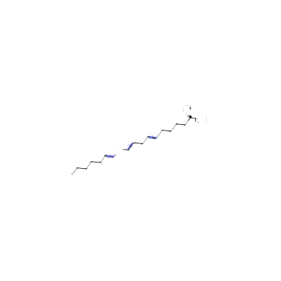 CCCCC/C=C/S/C=C/C/C=C/CCCCC(=O)O